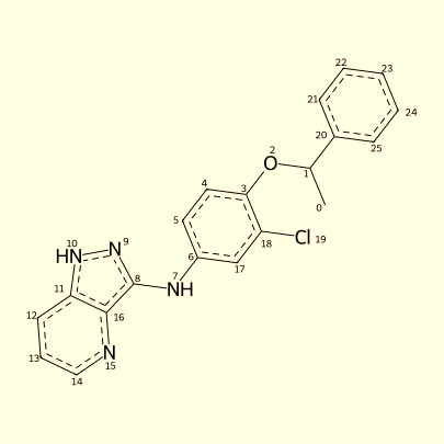 CC(Oc1ccc(Nc2n[nH]c3cccnc23)cc1Cl)c1ccccc1